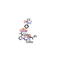 CC[C@H](C)[C@@H]([C@@H](CC(=O)N1CCC[C@H]1[C@H](OC)[C@@H](C)C(=O)NS(=O)(=O)c1ccc(NC(=O)C(F)(F)F)cc1)OC)N(C)C(=O)[C@@H](C)C(C)C